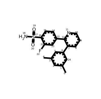 Cc1cc(C)cc(-c2cccnc2-c2ccc(S(N)(=O)=O)c(F)c2)c1